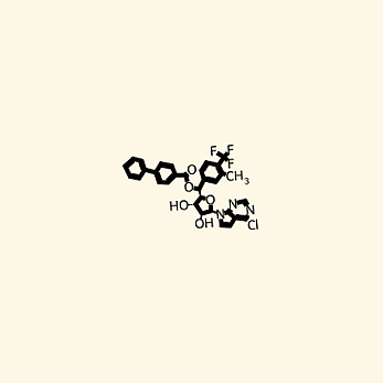 Cc1cc(C(OC(=O)c2ccc(-c3ccccc3)cc2)[C@H]2O[C@@H](n3ccc4c(Cl)ncnc43)[C@H](O)[C@@H]2O)ccc1C(F)(F)F